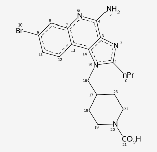 CCCc1nc2c(N)nc3cc(Br)ccc3c2n1CC1CCN(C(=O)O)CC1